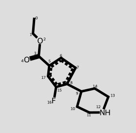 CCOC(=O)c1ccc(C2CCNCC2)c(F)c1